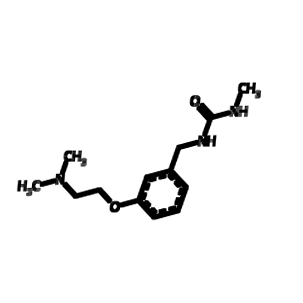 CNC(=O)NCc1cccc(OCCN(C)C)c1